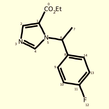 CCOC(=O)c1cncn1C(C)c1ccc(F)cc1